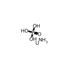 N.O=P(O)(O)O.[U]